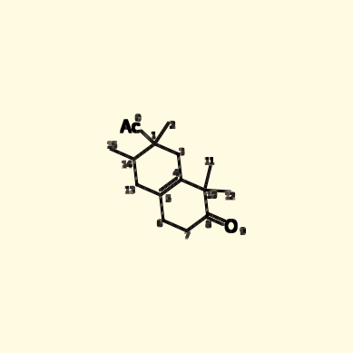 CC(=O)C1(C)CC2=C(CCC(=O)C2(C)C)CC1C